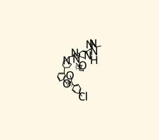 Cc1nnc(-c2cc3nc(CN4CCC(c5cccc6c5OC[C@@H](c5ccc(Cl)cc5)O6)CC4)n(C[C@@H]4CCO4)c3cn2)[nH]1